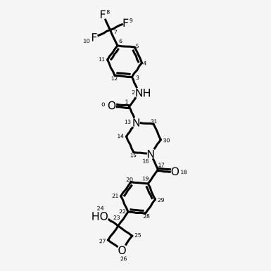 O=C(Nc1ccc(C(F)(F)F)cc1)N1CCN(C(=O)c2ccc(C3(O)COC3)cc2)CC1